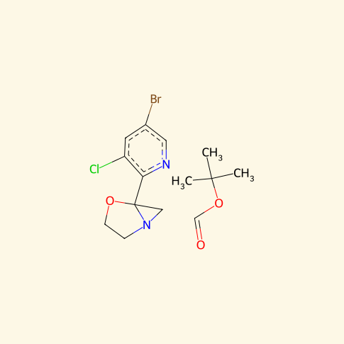 CC(C)(C)OC=O.Clc1cc(Br)cnc1C12CN1CCO2